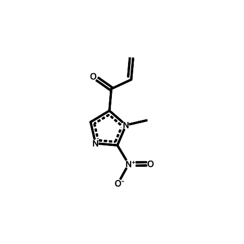 C=CC(=O)c1cnc([N+](=O)[O-])n1C